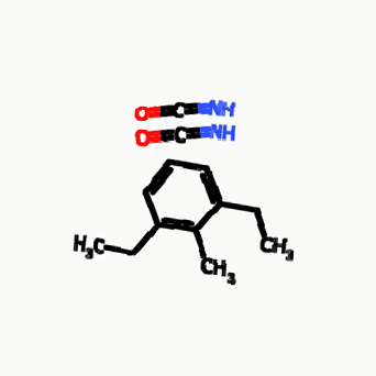 CCc1cccc(CC)c1C.N=C=O.N=C=O